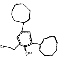 Oc1c(CCl)cc(C2CCCCCC2)cc1C1CCCCCCC1